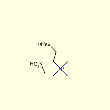 CCCCCCCC[N+](C)(C)C.CS(=O)(=O)O